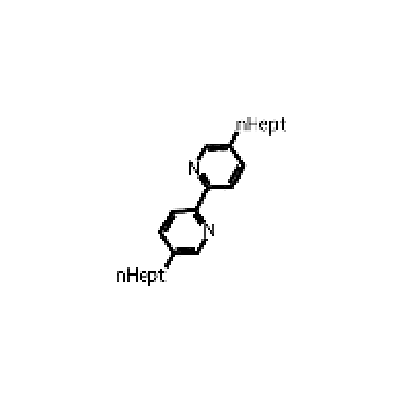 CCCCCCCc1ccc(-c2ccc(CCCCCCC)cn2)nc1